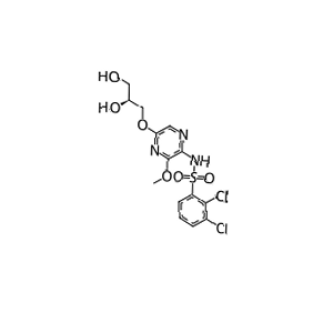 COc1nc(OC[C@@H](O)CO)cnc1NS(=O)(=O)c1cccc(Cl)c1Cl